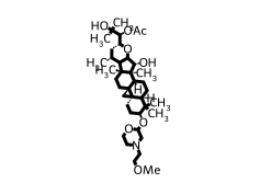 COCCN1CCOC(O[C@H]2CC[C@]34C[C@]35CC[C@]3(C)C6C(O[C@@H]([C@H](OC(C)=O)C(C)(C)O)C[C@H]6C)[C@H](O)[C@@]3(C)[C@@H]5CC[C@H]4C2(C)C)C1